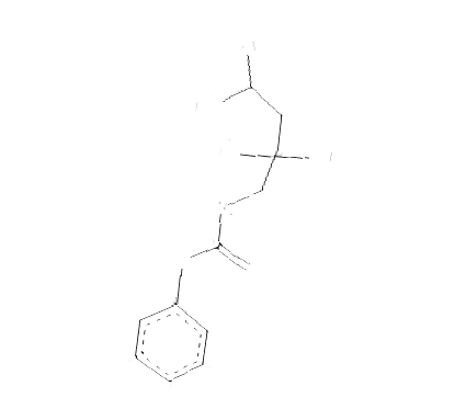 CC(C)CC(C)(C)CNC(=S)Oc1ccccc1